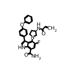 C=CC(=O)N[C@@H]1CCN(c2c(F)cc(C(N)=O)c3[nH]cc(-c4ccc(Oc5ccccc5)cc4)c23)C1